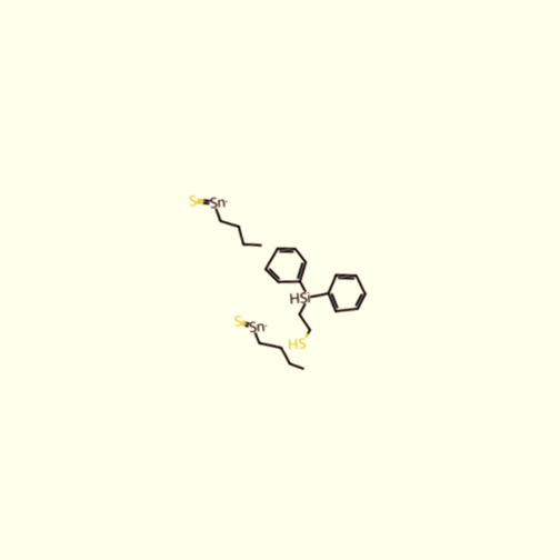 CCC[CH2][Sn]=[S].CCC[CH2][Sn]=[S].SCC[SiH](c1ccccc1)c1ccccc1